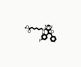 COC(=O)CCCCCNc1ncnc2oc(-c3ccccc3)c(-c3ccc(F)cc3)c12